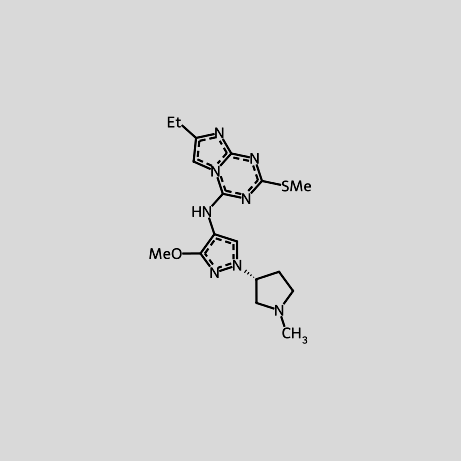 CCc1cn2c(Nc3cn([C@@H]4CCN(C)C4)nc3OC)nc(SC)nc2n1